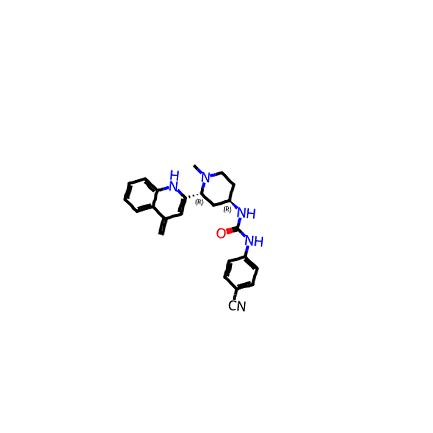 C=C1C=C([C@H]2C[C@H](NC(=O)Nc3ccc(C#N)cc3)CCN2C)Nc2ccccc21